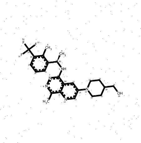 Cc1c([C@@H](C)Nc2nnc(C)c3ncc(N4CCC(CO)CC4)cc23)cccc1C(F)(F)F